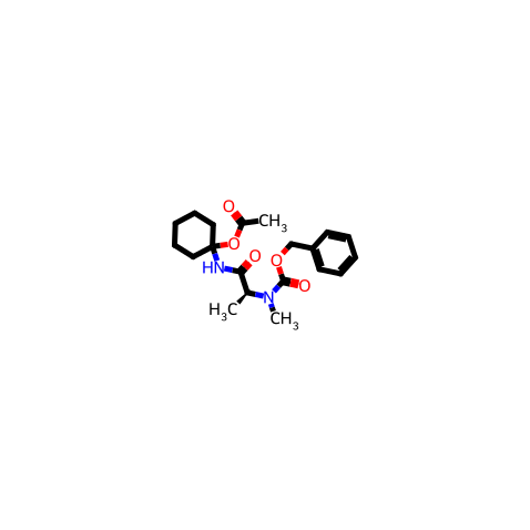 CC(=O)OC1(NC(=O)[C@H](C)N(C)C(=O)OCc2ccccc2)CCCCC1